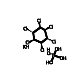 Cl[C@H]1[C@H](Cl)[C@@H](Cl)[C@@H](Cl)[C@H](Cl)[C@H]1Cl.[KH].[OH][Ti]([OH])([OH])[OH]